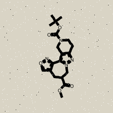 COC(=O)C1Cc2conc2-c2c3c(nn2C1)CCN(C(=O)OC(C)(C)C)C3